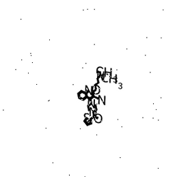 CN(C)CCCOc1nc2ccccc2c(N2CCN(C(=O)c3cccs3)CC2)c1C#N